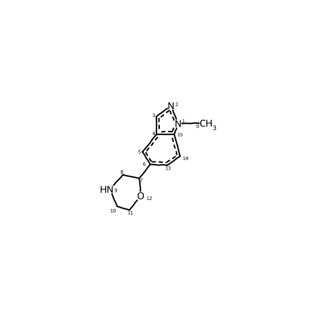 Cn1ncc2cc(C3CNCCO3)ccc21